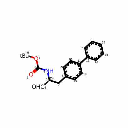 CC(C)(C)OC(=O)N[C@H](C=O)Cc1ccc(-c2ccccc2)cc1